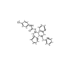 CCc1ccc(NC(=O)CN(CCN(Cc2ccccn2)Cc2ccccn2)Cc2ccccn2)cc1